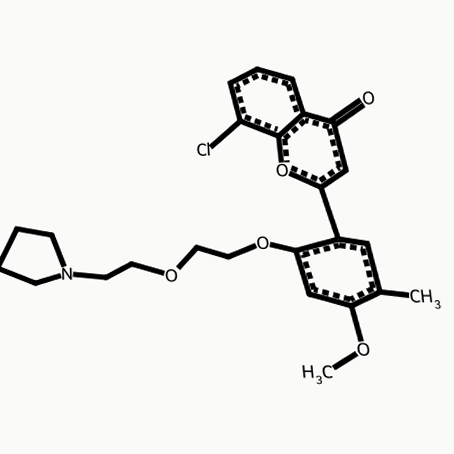 COc1cc(OCCOCCN2CCCC2)c(-c2cc(=O)c3cccc(Cl)c3o2)cc1C